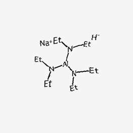 CC[N](CC)[Al]([N](CC)CC)[N](CC)CC.[H-].[Na+]